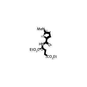 CCOC(=O)CC[C@H](NC(=O)c1ccc(NC)s1)C(=O)OCC